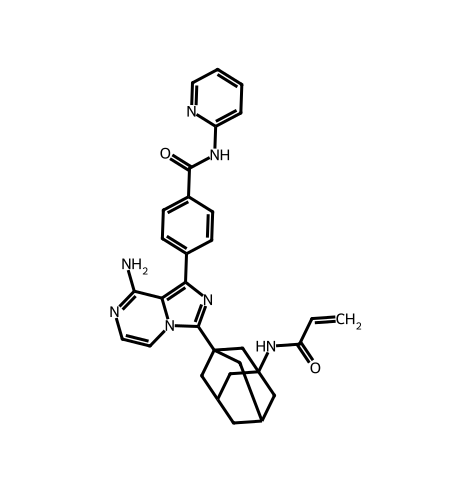 C=CC(=O)NC12CC3CC(C1)CC(c1nc(-c4ccc(C(=O)Nc5ccccn5)cc4)c4c(N)nccn14)(C3)C2